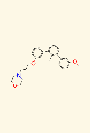 COc1cccc(-c2cccc(-c3cccc(OCCCN4CCOCC4)c3)c2C)c1